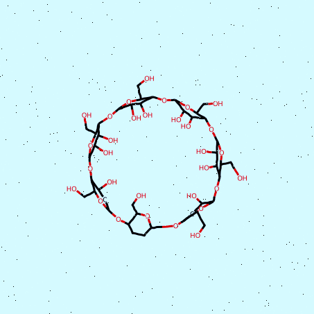 OCC1OC2CCC1OC1CC(O)C(OC3OC(CO)C(OC4OC(CO)C(OC5OC(CO)C(OC6OC(CO)C(OC7OC(CO)C(CC7O)O2)C(O)C6O)C(O)C5O)C(O)C4O)C(O)C3O)C(CO)O1